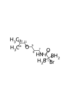 BC(B)(Br)C(=O)NCCCOCC(C)C